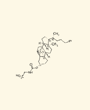 CC(C)CCC[C@@H](C)[C@H]1CC[C@H]2[C@@H]3CC=C4C[C@@H](OC(=O)NCC(=O)O)CC[C@]4(C)[C@H]3CC[C@]12C